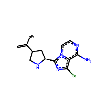 C=C(CCC)C1CN[C@H](c2nc(Br)c3c(N)nccn23)C1